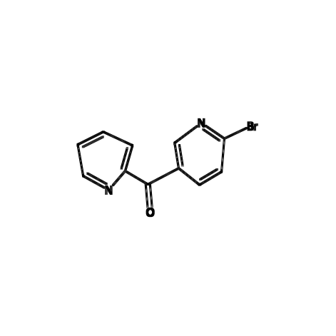 O=C(c1ccc(Br)nc1)c1ccccn1